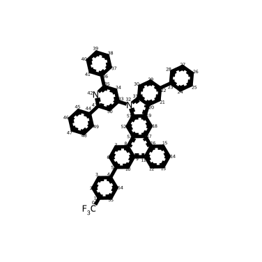 FC(F)(F)c1ccc(-c2ccc3c(c2)c2ccccc2c2cc4c5cc(-c6ccccc6)ccc5n(-c5cc(-c6ccccc6)nc(-c6ccccc6)c5)c4cc32)cc1